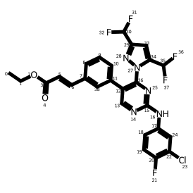 CCOC(=O)/C=C/c1cccc(-c2cnc(Nc3ccc(F)c(Cl)c3)nc2-n2nc(C(F)F)cc2C(F)F)c1